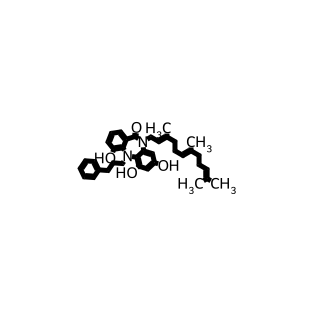 CC(C)=CCC/C(C)=C/CC/C(C)=C/CN1C(=O)c2cccc(O)c2N(CCCc2ccccc2)c2c(O)cc(O)cc21